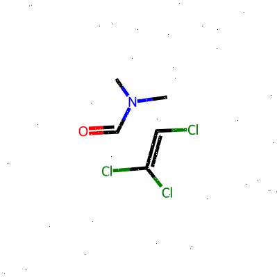 CN(C)C=O.ClC=C(Cl)Cl